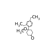 CCc1ccc(C2(OC)CCC(=O)CC2)c(CC)c1